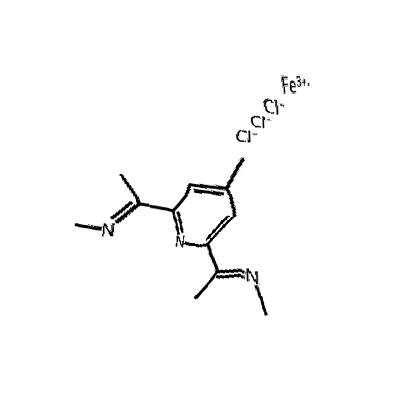 CN=C(C)c1cc(C)cc(C(C)=NC)n1.[Cl-].[Cl-].[Cl-].[Fe+3]